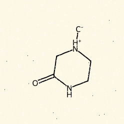 [CH2-][NH+]1CCNC(=O)C1